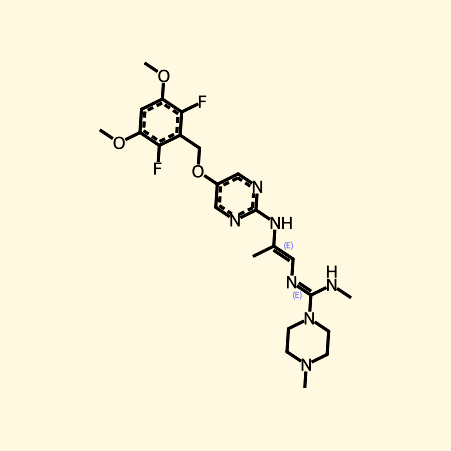 CN/C(=N\C=C(/C)Nc1ncc(OCc2c(F)c(OC)cc(OC)c2F)cn1)N1CCN(C)CC1